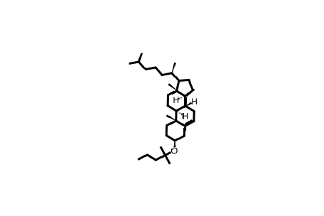 CCCC(C)(C)O[C@H]1CC[C@@]2(C)C(=CC[C@@H]3[C@@H]2CC[C@]2(C)C([C@H](C)CCCC(C)C)CC[C@@H]32)C1